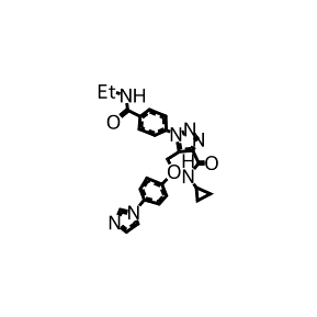 CCNC(=O)c1ccc(-n2nnc(C(=O)NC3CC3)c2COc2ccc(-n3ccnc3)cc2)cc1